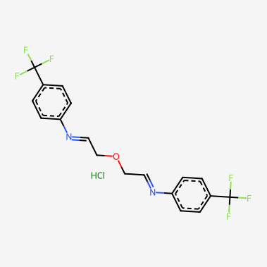 Cl.FC(F)(F)c1ccc(N=CCOCC=Nc2ccc(C(F)(F)F)cc2)cc1